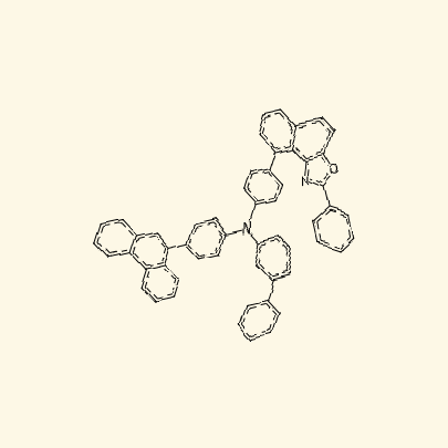 c1ccc(-c2cccc(N(c3ccc(-c4cc5ccccc5c5ccccc45)cc3)c3ccc(-c4cccc5ccc6oc(-c7ccccc7)nc6c45)cc3)c2)cc1